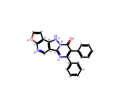 O=c1c(-c2ccccc2)c(-c2ccccc2)nc2c3cnc4occc4c3[nH]n12